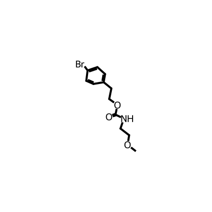 COCCNC(=O)OCCc1ccc(Br)cc1